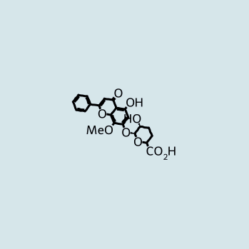 COc1c(O[C@@H]2OC(C(=O)O)CC[C@@H]2O)cc(O)c2c(=O)cc(-c3ccccc3)oc12